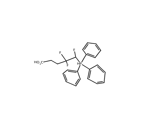 O=C(O)CCC(F)(F)C(F)[PH](c1ccccc1)(c1ccccc1)c1ccccc1